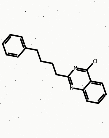 Clc1nc(CCCCc2ccccc2)nc2ccccc12